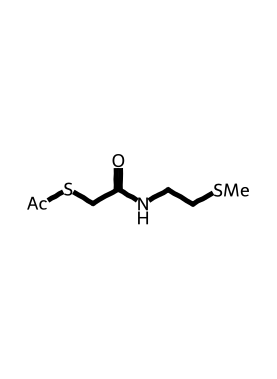 CSCCNC(=O)CSC(C)=O